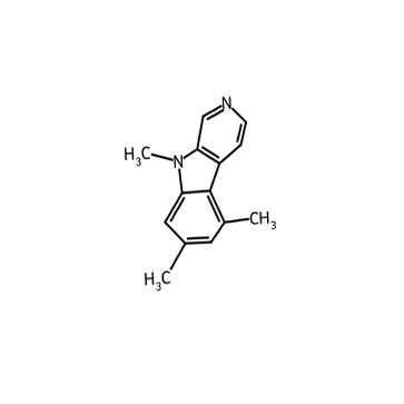 Cc1cc(C)c2c3ccncc3n(C)c2c1